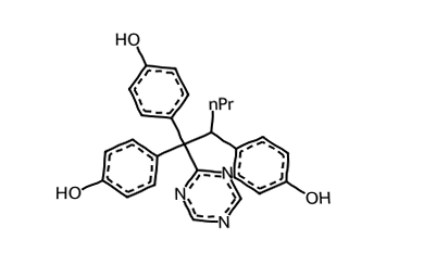 CCCC(c1ccc(O)cc1)C(c1ccc(O)cc1)(c1ccc(O)cc1)c1ncncn1